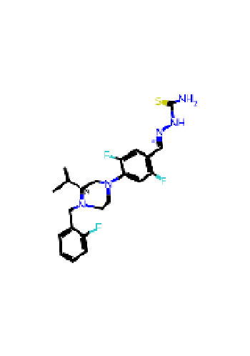 CC(C)[C@H]1CN(c2cc(F)c(/C=N/NC(N)=S)cc2F)CCN1Cc1ccccc1F